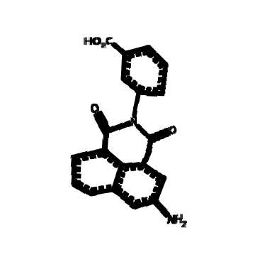 Nc1cc2c3c(cccc3c1)C(=O)N(c1cccc(C(=O)O)c1)C2=O